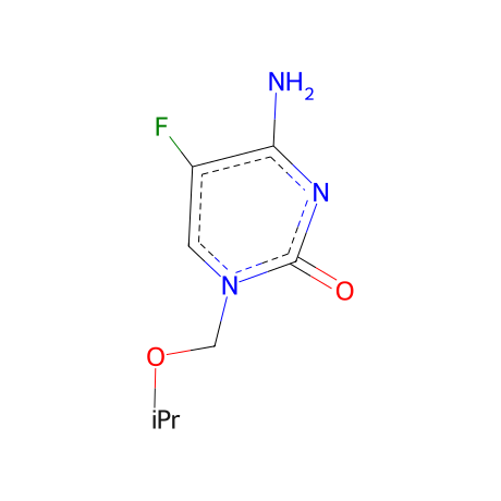 CC(C)OCn1cc(F)c(N)nc1=O